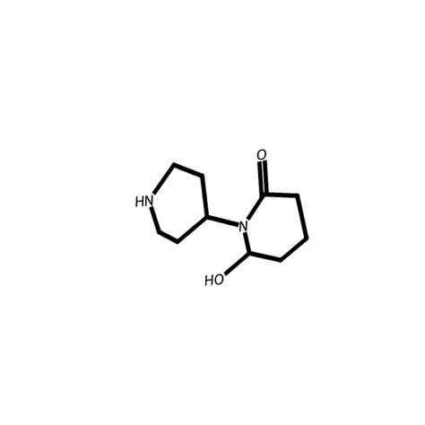 O=C1CCCC(O)N1C1CCNCC1